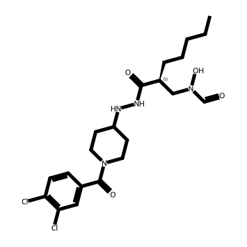 CCCCC[C@@H](CN(O)C=O)C(=O)NNC1CCN(C(=O)c2ccc(Cl)c(Cl)c2)CC1